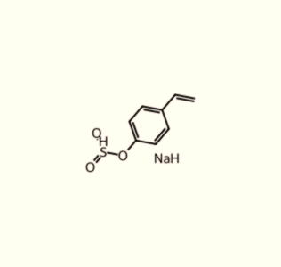 C=Cc1ccc(O[SH](=O)=O)cc1.[NaH]